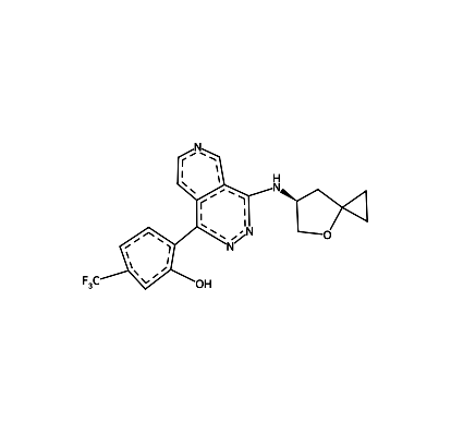 Oc1cc(C(F)(F)F)ccc1-c1nnc(N[C@@H]2COC3(CC3)C2)c2cnccc12